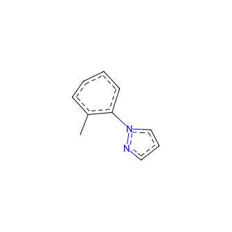 Cc1ccccc1-n1cccn1